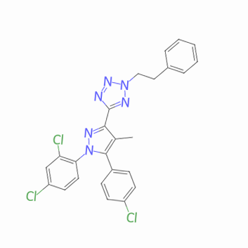 Cc1c(-c2nnn(CCc3ccccc3)n2)nn(-c2ccc(Cl)cc2Cl)c1-c1ccc(Cl)cc1